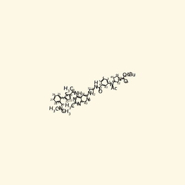 CC(=O)N(c1cccc(C(=O)NC2CN(c3cc4c(NC(C)c5ccc(-c6ccccc6CN(C)C)s5)nc(C)nc4cn3)C2)c1)C1CCN(C(=O)OC(C)(C)C)C1